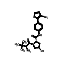 Cc1ncsc1-c1ccc(NC(=O)[C@@H]2C[C@@H](O)CN2C(=O)[C@@H](N)C(C)(C)C)cc1